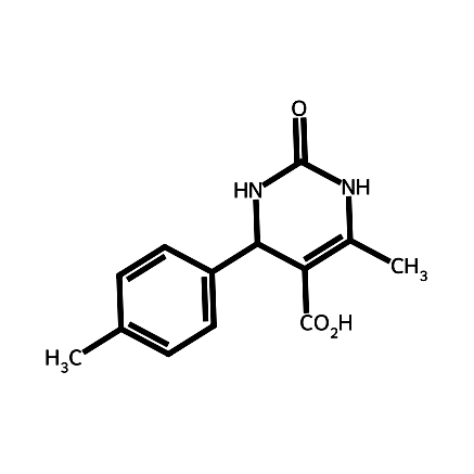 CC1=C(C(=O)O)C(c2ccc(C)cc2)NC(=O)N1